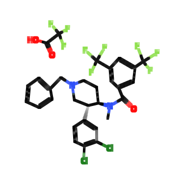 CN(C(=O)c1cc(C(F)(F)F)cc(C(F)(F)F)c1)[C@@H]1CCN(Cc2ccccc2)C[C@H]1c1ccc(Cl)c(Cl)c1.O=C(O)C(F)(F)F